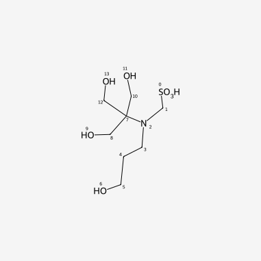 O=S(=O)(O)CN(CCCO)C(CO)(CO)CO